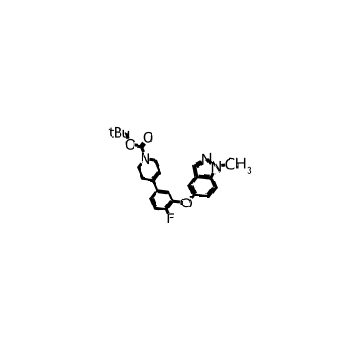 Cn1ncc2cc(Oc3cc(C4=CCN(C(=O)OC(C)(C)C)CC4)ccc3F)ccc21